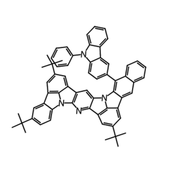 CC(C)(C)c1ccc2c(c1)c1cc(C(C)(C)C)cc3c4cc5c(nc4n2c13)c1cc(C(C)(C)C)cc2c3cc4ccccc4c(-c4ccc6c(c4)c4ccccc4n6-c4ccccc4)c3n5c21